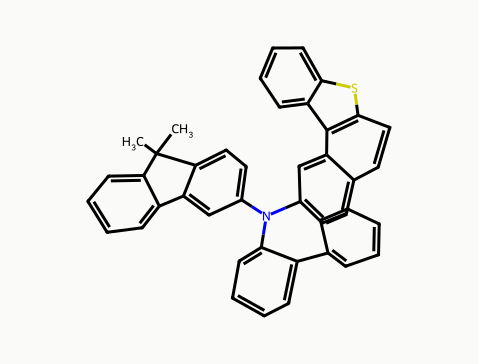 CC1(C)c2ccccc2-c2cc(N(c3ccc4ccc5sc6ccccc6c5c4c3)c3ccccc3-c3ccccc3)ccc21